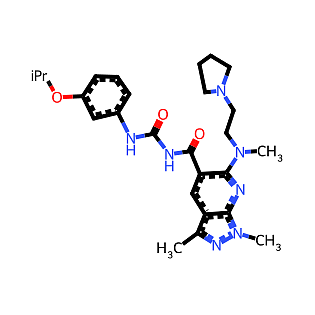 Cc1nn(C)c2nc(N(C)CCN3CCCC3)c(C(=O)NC(=O)Nc3cccc(OC(C)C)c3)cc12